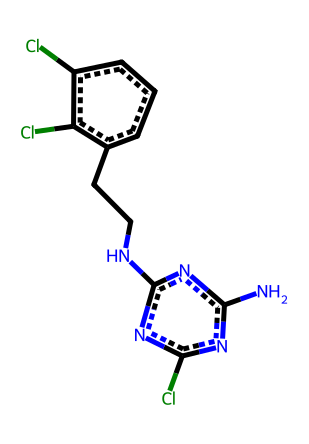 Nc1nc(Cl)nc(NCCc2cccc(Cl)c2Cl)n1